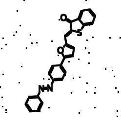 O=C1C(=Cc2ccc(-c3ccc(N=Nc4ccccc4)cc3)o2)Sc2ccccc21